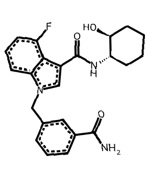 NC(=O)c1cccc(Cn2cc(C(=O)N[C@H]3CCCC[C@@H]3O)c3c(F)cccc32)c1